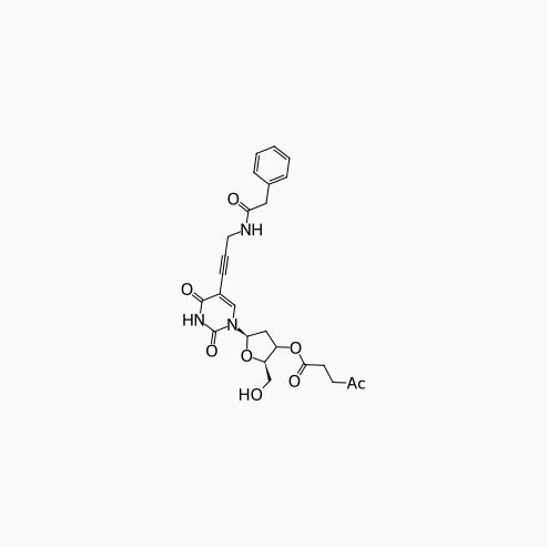 CC(=O)CCC(=O)OC1C[C@H](n2cc(C#CCNC(=O)Cc3ccccc3)c(=O)[nH]c2=O)O[C@@H]1CO